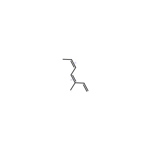 C=C/C(C)=C\C=C/C